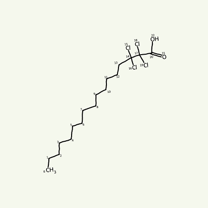 CCCCCCCCCCCCCCC(Cl)(Cl)C(Cl)(Cl)C(=O)O